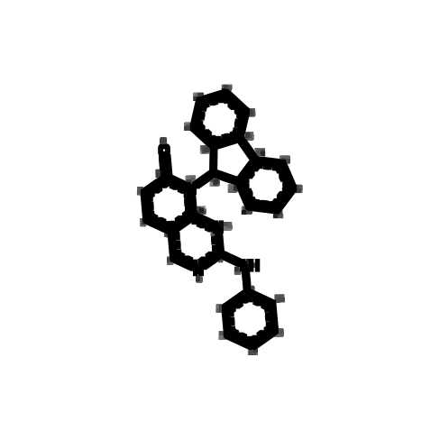 O=c1ccc2cnc(Nc3ccccc3)nc2n1C1c2ccccc2-c2ccccc21